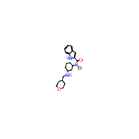 CCN(C(=O)c1cc2ccccc2[nH]1)C1CCC[C@@H](NCC2CCOCC2)C1